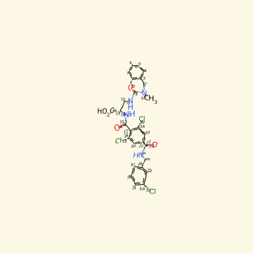 CN(Cc1ccccc1)C(=O)NC[C@H](NC(=O)c1c(Cl)cc(C(=O)NCc2cccc(Cl)c2)cc1Cl)C(=O)O